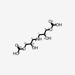 O=C(O)OCC(O)CNCC(O)COC(=O)O